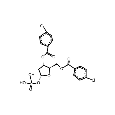 O=C(OC[C@H]1O[C@H](OP(=O)(O)O)C[C@@H]1OC(=O)c1ccc(Cl)cc1)c1ccc(Cl)cc1